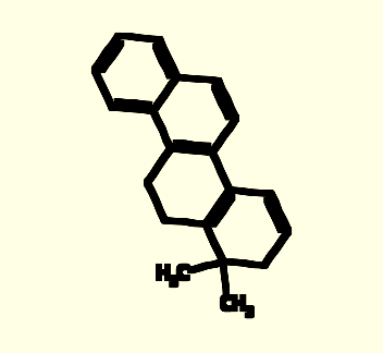 CC1(C)CC=CC2=C1CCc1c2ccc2ccccc12